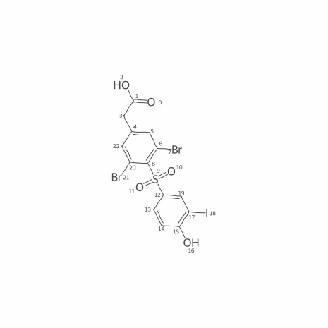 O=C(O)Cc1cc(Br)c(S(=O)(=O)c2ccc(O)c(I)c2)c(Br)c1